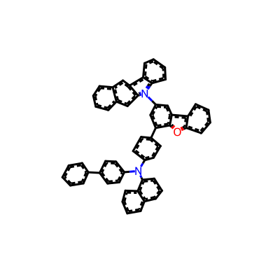 c1ccc(-c2ccc(N(c3ccc(-c4cc(-n5c6ccccc6c6cc7ccccc7cc65)cc5c4oc4ccccc45)cc3)c3cccc4ccccc34)cc2)cc1